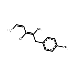 C/C=C\C(Cl)=C(/N)Cc1ccc(C)cc1